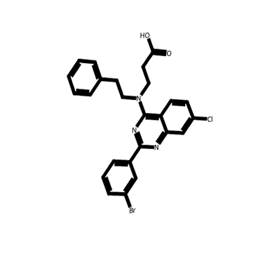 O=C(O)CCN(CCc1ccccc1)c1nc(-c2cccc(Br)c2)nc2cc(Cl)ccc12